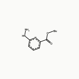 CC(C)(C)OC(=O)c1cccc(NN)n1